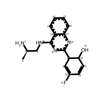 C[C@@H](N)CNc1nc(C2C=C(F)C=CC2O)nc2ccccc12